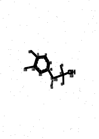 Cc1ccc([C@@H](C)C(C)(C)O)cc1C